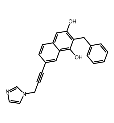 Oc1cc2ccc(C#CCn3ccnc3)cc2c(O)c1Cc1ccccc1